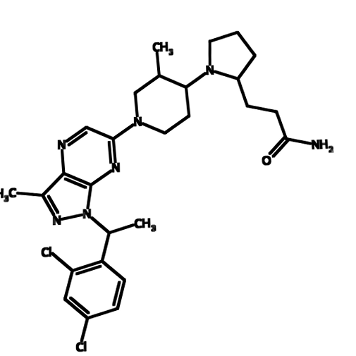 Cc1nn(C(C)c2ccc(Cl)cc2Cl)c2nc(N3CCC(N4CCCC4CCC(N)=O)C(C)C3)cnc12